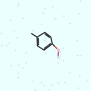 Cc1ccc(OI)cc1